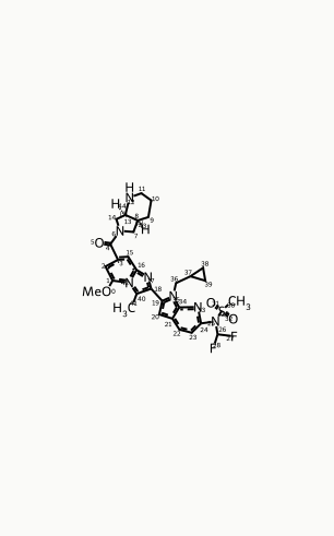 COc1cc(C(=O)N2C[C@@H]3CCCN[C@@H]3C2)cc2nc(-c3cc4ccc(N(C(F)F)S(C)(=O)=O)nc4n3CC3CC3)c(C)n12